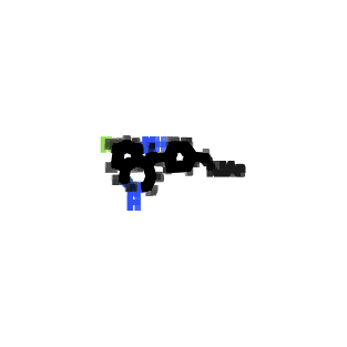 CNCc1ccc(-c2[nH]c3cc(F)cc4c3c2CCNC4)cc1